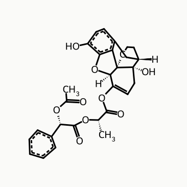 CC(=O)O[C@H](C(=O)O[C@@H](C)C(=O)OC1=CC[C@]2(O)[C@H]3CCC[C@]24c2c(ccc(O)c2O[C@H]14)C3)c1ccccc1